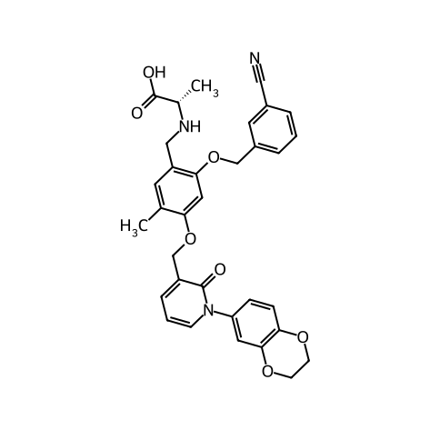 Cc1cc(CN[C@@H](C)C(=O)O)c(OCc2cccc(C#N)c2)cc1OCc1cccn(-c2ccc3c(c2)OCCO3)c1=O